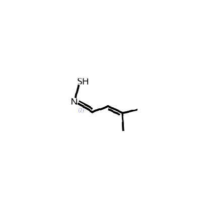 CC(C)=C/C=N\S